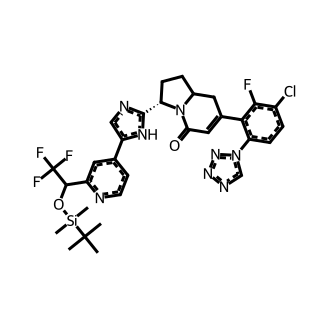 CC(C)(C)[Si](C)(C)OC(c1cc(-c2cnc([C@@H]3CCC4CC(c5c(-n6cnnn6)ccc(Cl)c5F)=CC(=O)N43)[nH]2)ccn1)C(F)(F)F